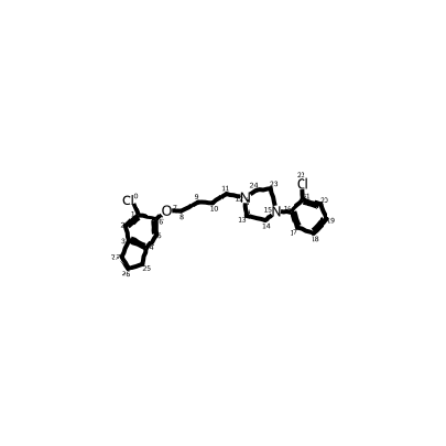 Clc1cc2c(cc1OCCCCN1CCN(c3ccccc3Cl)CC1)CCC2